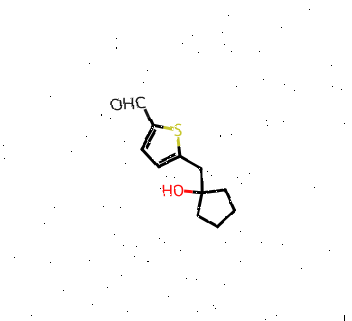 O=Cc1ccc(CC2(O)CCCC2)s1